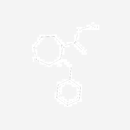 CC(C)(C)OC(=O)N1CCCNC[C@H]1Cc1ccccc1